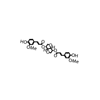 COc1cc(C=CC(=O)O[C@H]2CO[C@H]3[C@@H]2OC[C@H]3OC(=O)C=Cc2ccc(O)c(OC)c2)ccc1O